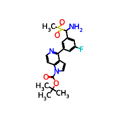 CC(C)(C)OC(=O)n1ccc2c(-c3cc(F)cc(C(N)S(C)(=O)=O)c3)nccc21